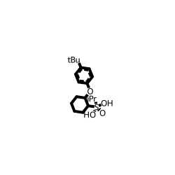 CC(C)S(=O)(O)(O)C1CCCCC1Oc1ccc(C(C)(C)C)cc1